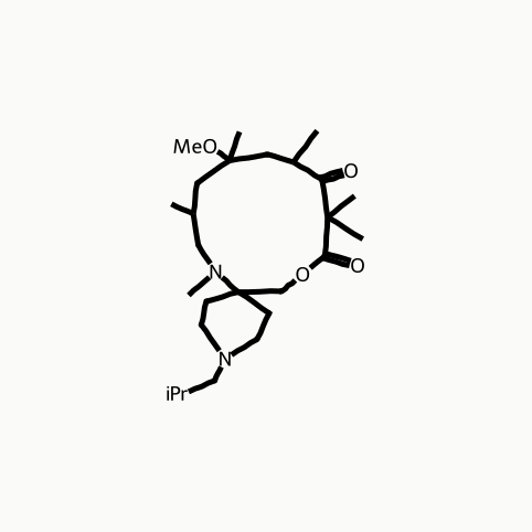 COC1(C)CC(C)CN(C)C2(CCN(CC(C)C)CC2)COC(=O)C(C)(C)C(=O)C(C)C1